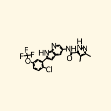 Cc1n[nH]c(C(=O)Nc2cnc3[nH]c(-c4cc(OC(F)(F)F)ccc4Cl)cc3c2)c1C